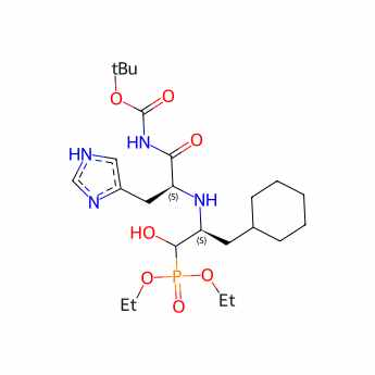 CCOP(=O)(OCC)C(O)[C@H](CC1CCCCC1)N[C@@H](Cc1c[nH]cn1)C(=O)NC(=O)OC(C)(C)C